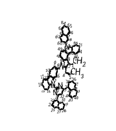 C=Cc1c(/C=C\C)n(-c2ccc3c4ccccc4n(-c4nc(-c5cccc6ccccc56)cc(-c5cccc6ccccc56)n4)c3c2)c2ccc3c(c4ccccc4n3-c3ccc4ccccc4c3)c12